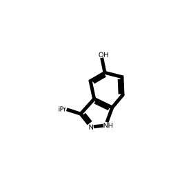 CC(C)c1n[nH]c2ccc(O)cc12